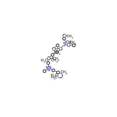 C=C1CC=CC2=C1C1(C3=C(C=CC(C/C=C(\N=C(/C)c4ccc5c(c4)C(C)CC=C5)C4=CC=C(c5ccccc5)C(C)C4)C3)c3ccc(-c4ccc5c(c4)C(C)(C)C4=CC(C)(c6ccc(-c7nc(-c8ccccc8)nc(-c8ccc(-c9ccc%10c(c9)C(C)(C)C/C=C\C=C/C%10C)cc8)n7)cc6)CC=C45)cc31)c1ccccc12